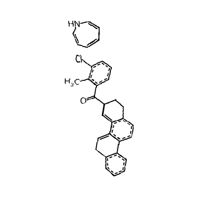 C1=CC=CNC=C1.Cc1c(Cl)cccc1C(=O)C1C=c2c(ccc3c2=CCc2ccccc2-3)CC1